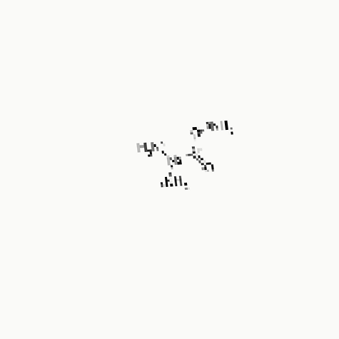 NOC(=O)N(N)N